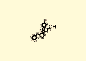 OCC=Cc1c2c(nn1-c1ccc(F)cc1)C(Cc1ccccc1)CCC2